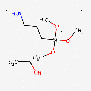 CCO.CO[Si](CCCN)(OC)OC